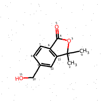 CC1(C)OC(=O)c2ccc(CO)cc21